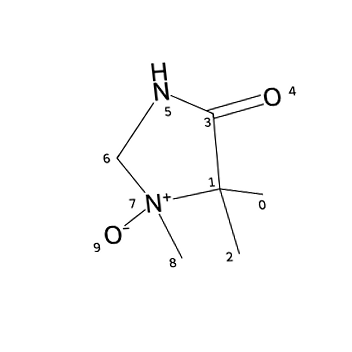 CC1(C)C(=O)NC[N+]1(C)[O-]